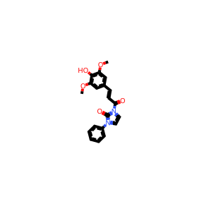 COc1cc(C=CC(=O)n2ccn(-c3ccccc3)c2=O)cc(OC)c1O